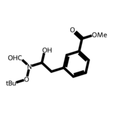 COC(=O)c1cccc(CC(O)N(C=O)OC(C)(C)C)c1